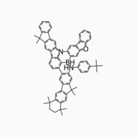 CC(C)(C)c1ccc(Nc2cc3c(cc2-c2ccc4c5cc6c(cc5n5c4c2Bc2cc4oc7ccccc7c4cc2-5)-c2ccccc2C6(C)C)-c2cc4c(cc2C3(C)C)C(C)(C)CCC4(C)C)cc1